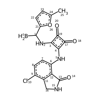 BC(Nc1c(Nc2ccc(Cl)c3c2C(=O)NC3)c(=O)c1=O)c1ccc(C)o1